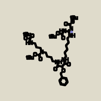 CC(C)(C)OC(=O)/N=C(/NCCCCCCNC(=O)C(OCc1ccccc1)C(=O)NCCCCN(CCCNC(=O)OC(C)(C)C)C(=O)OC(C)(C)C)NC(=O)OC(C)(C)C